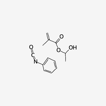 C=C(C)C(=O)OC(C)O.O=C=Nc1ccccc1